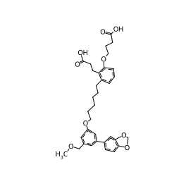 COCc1cc(OCCCCCCc2cccc(OCCCC(=O)O)c2CCC(=O)O)cc(-c2ccc3c(c2)OCO3)c1